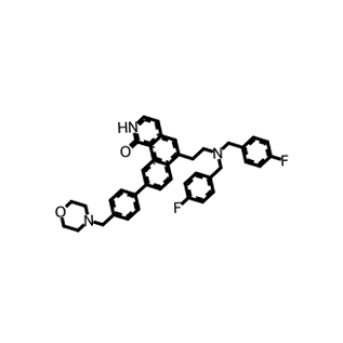 O=c1[nH]ccc2cc(CCN(Cc3ccc(F)cc3)Cc3ccc(F)cc3)c3ccc(-c4ccc(CN5CCOCC5)cc4)cc3c12